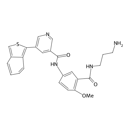 COc1ccc(NC(=O)c2cncc(-c3scc4ccccc34)c2)cc1C(=O)NCCCN